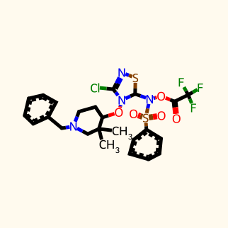 CC1(C)CN(Cc2ccccc2)CCC1ON1C(Cl)=NSC1N(OC(=O)C(F)(F)F)S(=O)(=O)c1ccccc1